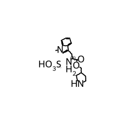 CS(=O)(=O)O.Cn1cc(C[C@@H](N)C(=O)OCC2CCNCC2)c2ccccc21